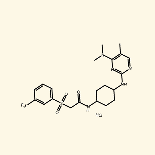 Cc1cnc(NC2CCC(NC(=O)CS(=O)(=O)c3cccc(C(F)(F)F)c3)CC2)nc1N(C)C.Cl